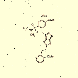 COc1ccccc1CCc1nn2c(Cc3cc(OC)c(OC)cc3S(=O)(=O)N(C)C)nnc2s1